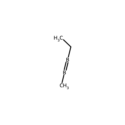 CB=BCC